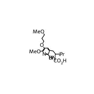 COCCCOc1cc(CC(NC(=O)O)C(C)C)c(Br)nc1OC